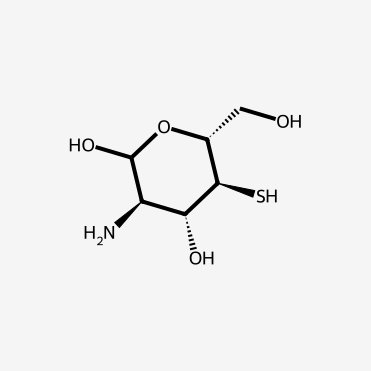 N[C@H]1C(O)O[C@H](CO)[C@@H](S)[C@@H]1O